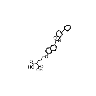 O=C(O)C(CCCOc1ccc2cc(-c3nc4cc(-c5ccccc5)ccc4o3)ccc2c1)C(=O)O